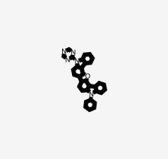 c1ccc(-n2c3ccccc3c3c4oc5c(ccc6c5c5ccccc5n6-c5ncncn5)c4ccc32)cc1